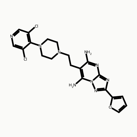 Nc1nc2nc(-c3ccco3)nn2c(N)c1CCN1CCN(c2c(Cl)cncc2Cl)CC1